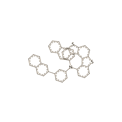 c1ccc(N(c2cccc(-c3ccc4ccccc4c3)c2)c2cccc3sc4ccc5sc6c7ccccc7ccc6c5c4c23)cc1